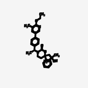 CCOc1ncc(-c2ccc([C@H](C)N3CCC(CC(C)(C)O)(c4ccccc4)OC3=O)cc2)cc1C